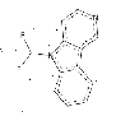 FC(F)n1c2ccccc2c2cnccc21